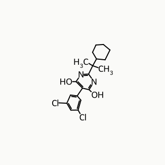 CC(C)(c1nc(O)c(-c2cc(Cl)cc(Cl)c2)c(O)n1)C1CCCCC1